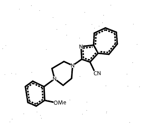 COc1ccccc1N1CCN(c2nc3cccccc-3c2C#N)CC1